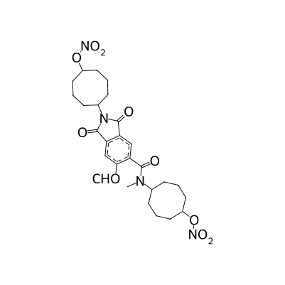 CN(C(=O)c1cc2c(cc1C=O)C(=O)N(C1CCCC(O[N+](=O)[O-])CCC1)C2=O)C1CCCC(O[N+](=O)[O-])CCC1